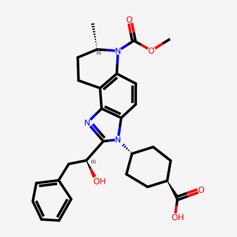 COC(=O)N1c2ccc3c(nc([C@@H](O)Cc4ccccc4)n3[C@H]3CC[C@H](C(=O)O)CC3)c2CC[C@@H]1C